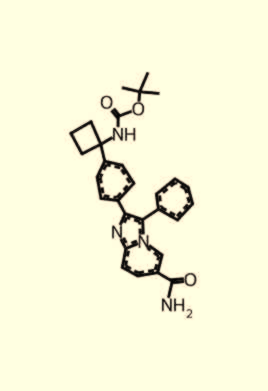 CC(C)(C)OC(=O)NC1(c2ccc(-c3nc4ccc(C(N)=O)cn4c3-c3ccccc3)cc2)CCC1